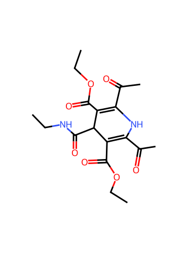 CCNC(=O)C1C(C(=O)OCC)=C(C(C)=O)NC(C(C)=O)=C1C(=O)OCC